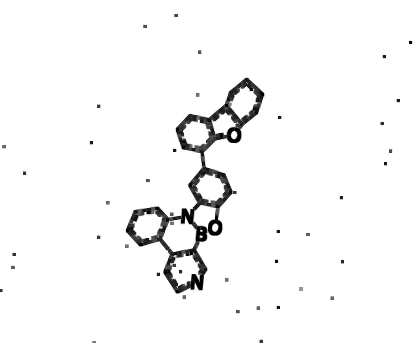 c1ccc2c(c1)-c1ccncc1B1Oc3ccc(-c4cccc5c4oc4ccccc45)cc3N12